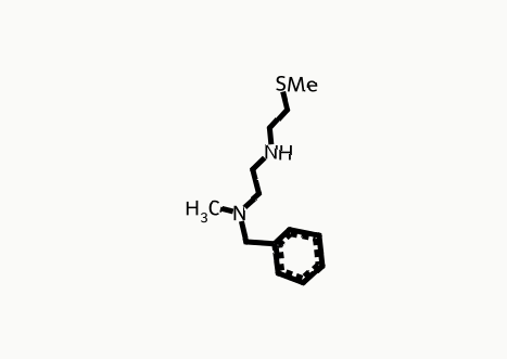 CSCCNCCN(C)Cc1ccccc1